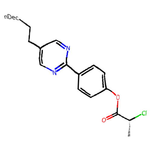 CCCCCCCCCCCCc1cnc(-c2ccc(OC(=O)[C@@H](C)Cl)cc2)nc1